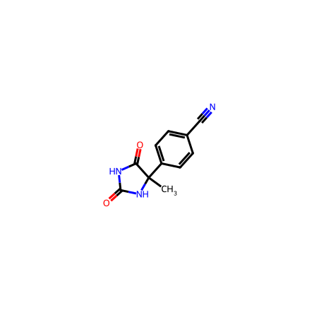 CC1(c2ccc(C#N)cc2)NC(=O)NC1=O